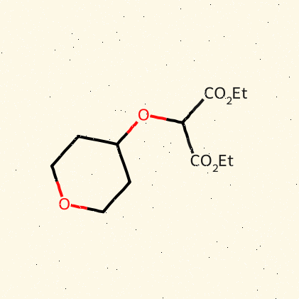 CCOC(=O)C(OC1CCOCC1)C(=O)OCC